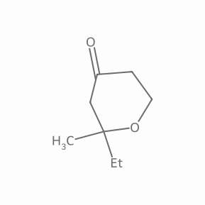 CCC1(C)CC(=O)CCO1